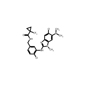 CN(C)c1cc2c(cc1Cl)nc(Nc1cc(CNC(=O)C3(C(F)(F)F)CC3)ccc1Cl)n2C